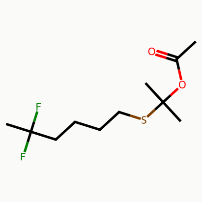 CC(=O)OC(C)(C)SCCCCC(C)(F)F